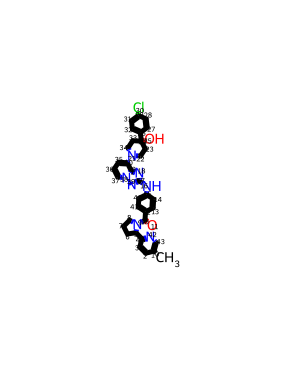 Cc1ccc(C2CCCN2C(=O)c2ccc(Nc3nc4c(N5CCC(O)(c6ccc(Cl)cc6)CC5)cccn4n3)cc2)nc1